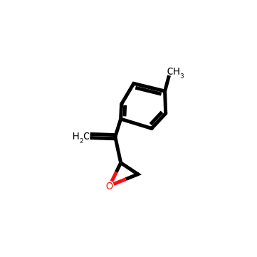 C=C(c1ccc(C)cc1)C1CO1